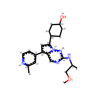 COCC(C)Nc1ncc2c(-c3ccnc(C)c3)cc(C3CCC(O)CC3)n2n1